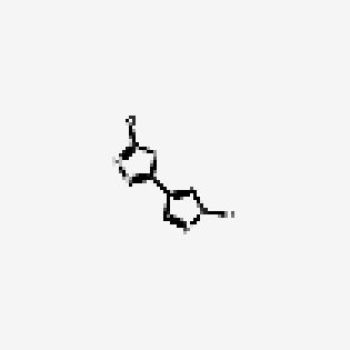 CCn1cc(-c2nnc(Cl)s2)cn1